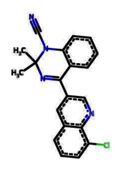 CC1(C)N=C(c2cnc3c(Cl)cccc3c2)c2ccccc2N1C#N